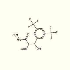 C=C[C@H](C(=O)NN)C(O)c1cc(C(F)(F)F)cc(C(F)(F)F)c1